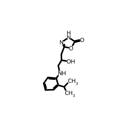 CC(C)c1ccccc1NCC(O)Cc1n[nH]c(=O)o1